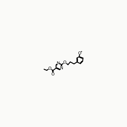 CCOC(=O)c1cnc(OCCCc2cccc(OC)c2)nc1